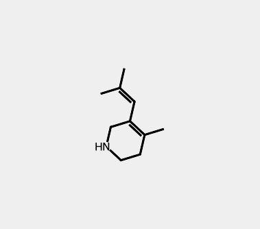 CC(C)=CC1=C(C)CCNC1